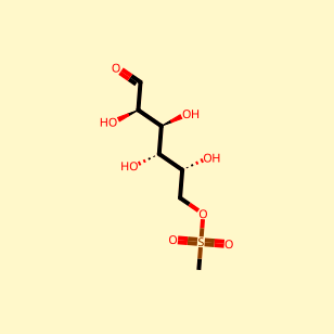 CS(=O)(=O)OC[C@@H](O)[C@H](O)[C@H](O)[C@@H](O)C=O